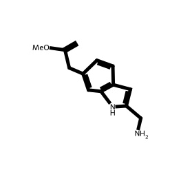 C=C(Cc1ccc2cc(CN)[nH]c2c1)OC